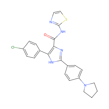 O=C(Nc1nccs1)c1nc(-c2ccc(N3CCCC3)cc2)[nH]c1-c1ccc(Cl)cc1